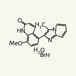 Br.COc1ccc(-c2nc3ccccn3c2C)c2ccc(=O)[nH]c12.O